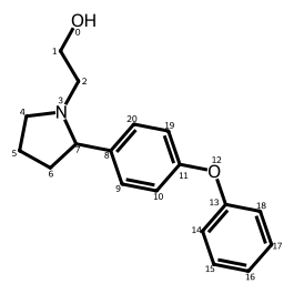 OCCN1CCCC1c1ccc(Oc2ccccc2)cc1